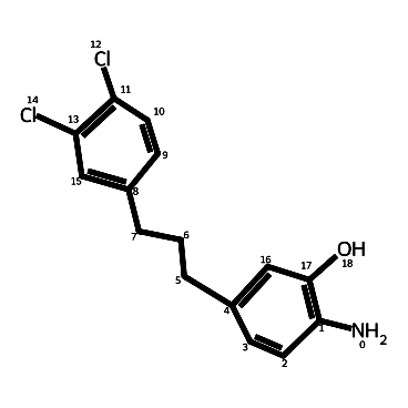 Nc1ccc(CCCc2ccc(Cl)c(Cl)c2)cc1O